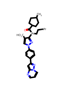 CC(C)CC[As](C(=O)C1CCC(C)CC1)c1nn(-c2ccc(-c3cc4ncccn4n3)cc2)cc1C(=O)O